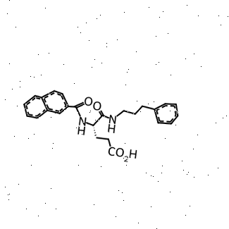 O=C(O)CC[C@H](NC(=O)c1ccc2ccccc2c1)C(=O)NCCCc1ccccc1